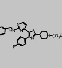 CCOC(=O)N1CCC(c2nc(-c3ccc(F)cc3)c(-c3ccnc(NCc4ccccc4)n3)s2)CC1